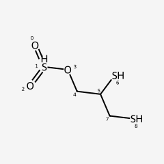 O=[SH](=O)OCC(S)CS